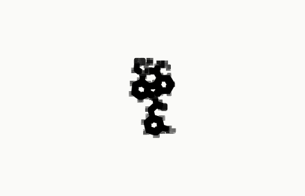 NC(=O)c1cccc2c1c1c(OCC(=O)O)cccc1n2C(=O)Cc1cccc(F)c1